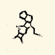 CCCN1/C(=C/c2c(O)c(=O)c2=O)C(C)c2c1ccc1ccccc21